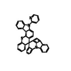 c1ccc(-n2c3ccccc3c3c4c(ccc32)C2(c3ccccc3S4)c3ccccc3-n3c4ccccc4c4cccc2c43)nc1